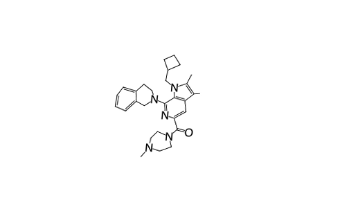 Cc1c(C)n(CC2CCC2)c2c(N3CCc4ccccc4C3)nc(C(=O)N3CCN(C)CC3)cc12